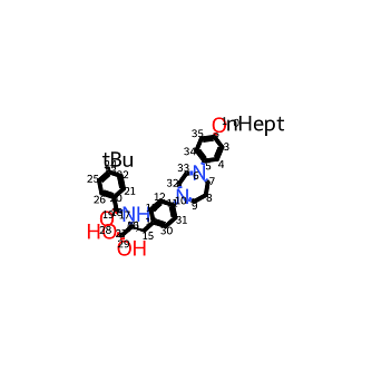 CCCCCCCOc1ccc(N2CCCN(c3ccc(C[C@H](NC(=O)c4ccc(C(C)(C)C)cc4)C(O)O)cc3)CC2)cc1